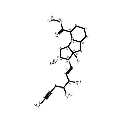 CC#CCC(C)[C@H](O)/C=C/[C@H]1[C@H](O)CC2[C@@H]1CC1CCCC(C(=O)OCCCC)N12